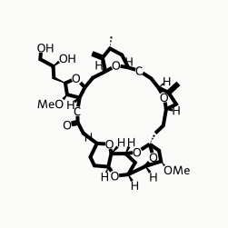 C=C1C[C@@H]2CC[C@]34C[C@H](OC)[C@@H](O3)[C@H]3C[C@@H](O4)[C@H]4O[C@H](CC[C@@H]4O3)CC(=O)C[C@H]3C(C[C@H]4O[C@@H](CC[C@@H]1O2)C[C@@H](C)C4=C)O[C@H](C[C@H](O)CO)[C@@H]3OC